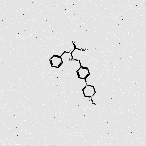 COC(=O)[C@H](Cc1ccccc1)NCc1ccc(N2CCN(C(C)=O)CC2)cc1